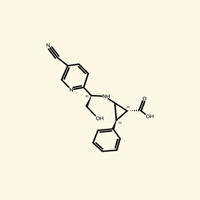 N#Cc1ccc([C@H](CO)NC2[C@H](C(=O)O)[C@H]2c2ccccc2)nc1